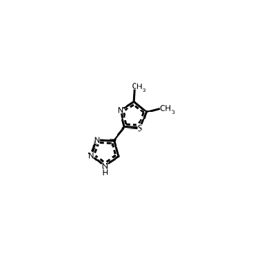 Cc1nc(-c2c[nH]nn2)sc1C